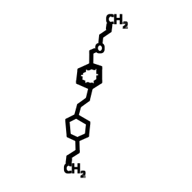 C=CCOCc1ccc(CCC2CCC(CC=C)CC2)cc1